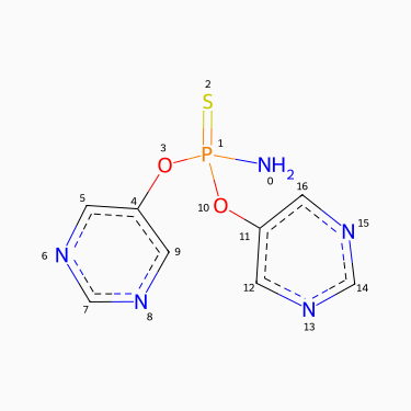 NP(=S)(Oc1cncnc1)Oc1cncnc1